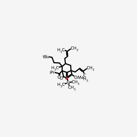 COC1=C([Si](C)(C)C)C(=O)C2(C(=O)C(C)C)C(=O)C1(CC=C(C)C)CC(CC=C(C)C)C2(C)CCCC(C)(C)C